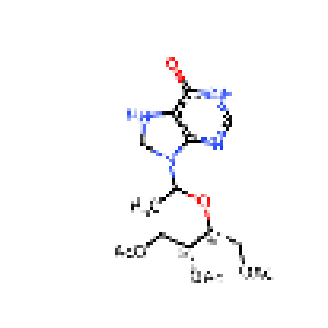 CC(=O)OC[C@@H](OC(C)=O)[C@@H](COC(C)=O)OC(C)N1CNc2c1nc[nH]c2=O